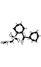 [N-]=[N+]=CS(=O)(=O)c1ccccc1C(=O)c1ccccc1